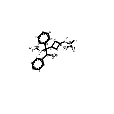 CC(C)(C)C(c1ccccc1)C(O[SiH3])(c1ccccc1)C1CC(OS(C)(=O)=O)C1